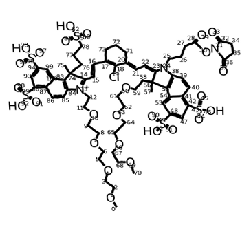 COCCOCCOCCOCC[N+]1=C(/C=C/C2=C(Cl)C(=C/C=C3/N(CCCC(=O)ON4C(=O)CCC4=O)c4ccc5c(S(=O)(=O)O)cc(S(=O)(=O)O)cc5c4C3(C)CCOCCOCCOCCOC)/CCC2)C(C)(CCCS(=O)(=O)O)c2c1ccc1c(S(=O)(=O)O)cc(S(=O)(=O)O)cc21